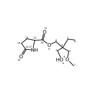 CCC(CO)(COC)COC(=O)C1CCC(=O)N1